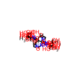 CC1C(O/N=C/C(=O)C2NCC(=O)N3CCC[C@H]3C(=O)[C@H](C(=O)/C=N/OC3OC(CO)C(O)C(O)C3C)C3C2C(C(=O)/C=N/OC2OC(CO)C(O)C(O)C2C)N2CCC[C@H]2C(=O)C[C@@H]3C(=O)/C=N/OC2OC(CO)C(O)C(O)C2C)OC(CO)C(O)C1O